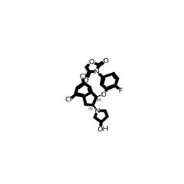 O=C1COC(=O)N1c1ccc(F)c(O[C@H]2c3cc(Cl)cc(Cl)c3C[C@@H]2N2CCC(O)C2)c1